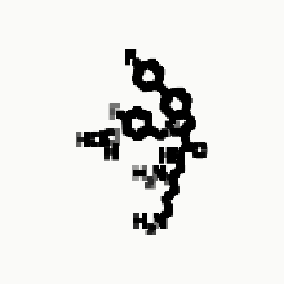 Cl.Cl.NCCC[C@H](N)CNC(=O)c1cc2ccc(-c3ccc(F)cc3)cc2n1Cc1ccc(F)cc1